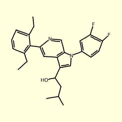 CCc1cccc(CC)c1-c1cc2c(C(O)CC(C)C)cn(-c3ccc(F)c(F)c3)c2cn1